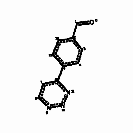 O=Cc1ccc(-c2ccnnn2)cc1